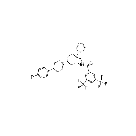 O=C(NC[C@]1(c2ccccc2)CC[C@@H](N2CCC(c3ccc(F)cc3)CC2)CC1)c1cc(C(F)(F)F)cc(C(F)(F)F)c1